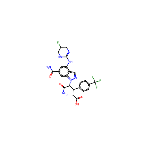 NC(=O)c1cc(NC2=NCC(F)CN2)c2cnn(C(C(N)=O)[C@@H](CC(=O)O)c3ccc(C(F)(F)F)cc3)c2c1